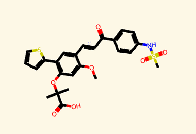 COc1cc(OC(C)(C)C(=O)O)c(-c2cccs2)cc1/C=C/C(=O)c1ccc(NS(C)(=O)=O)cc1